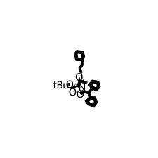 CC(C)(C)OC(=O)[C@H]1[C@H](OCCCc2ccccc2)CN1C(=O)C(c1ccccc1)c1ccccc1